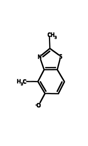 Cc1nc2c(C)c([O])ccc2s1